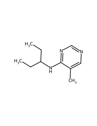 CCC(CC)Nc1ncncc1C